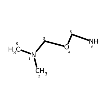 CN(C)COC[NH]